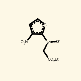 CCOC(=O)C[S+]([O-])c1sccc1[N+](=O)[O-]